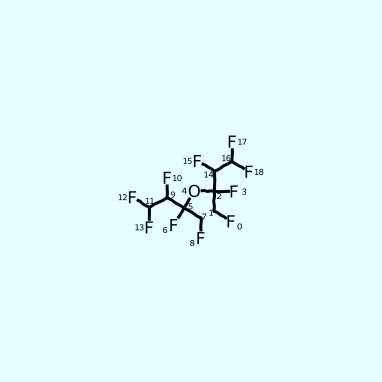 FCC(F)(OC(F)(CF)C(F)C(F)F)C(F)C(F)F